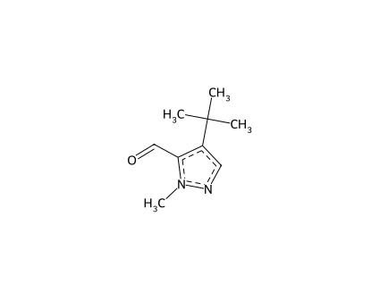 Cn1ncc(C(C)(C)C)c1C=O